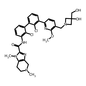 COc1nc(-c2cccc(-c3cccc(NC(=O)c4nc5c(n4C)CCN(C)C5)c3Cl)c2Cl)ccc1CN1CC(O)(CO)C1